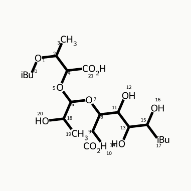 CCC(C)OC(C)C(OC(OC(CC(=O)O)C(O)C(O)C(O)C(C)CC)C(C)O)C(=O)O